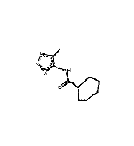 Cc1nonc1NC(=O)C1CCCCC1